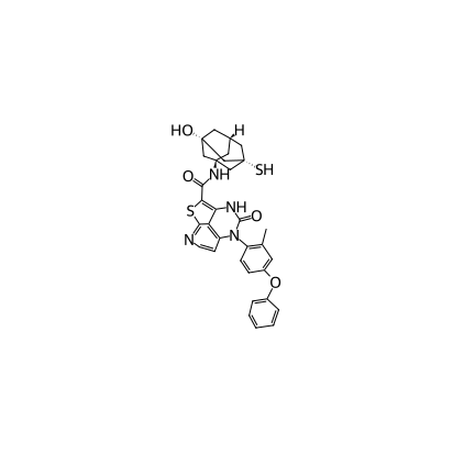 Cc1cc(Oc2ccccc2)ccc1N1C(=O)Nc2c(C(=O)N[C@@]34C[C@@H]5C[C@@](O)(C[C@@](S)(C5)C3)C4)sc3nccc1c23